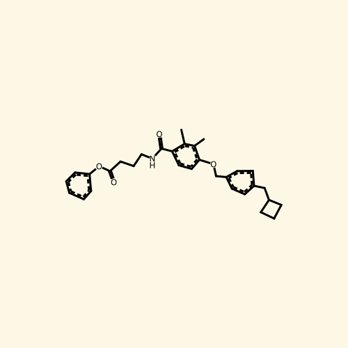 Cc1c(OCc2ccc(CC3CCC3)cc2)ccc(C(=O)NCCCC(=O)Oc2ccccc2)c1C